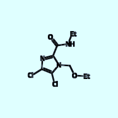 CCNC(=O)c1nc(Cl)c(Cl)n1COCC